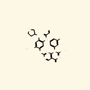 C=CC(=O)Nc1cc(Nc2ncc3c(=O)nc(C)n(-c4cccc(F)c4)c3n2)c(OC)cc1OC1CCN(C)C1